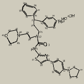 Cl.Cl.Cl.O=C(Nc1nc(-c2ccc(N3CCCC3)cc2)cs1)N(CCC(c1ccccc1)c1ccccc1)CCN1CCOCC1